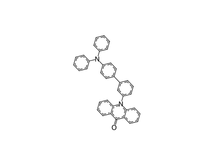 O=c1c2ccccc2n(-c2cccc(-c3ccc(N(c4ccccc4)c4ccccc4)cc3)c2)c2ccccc12